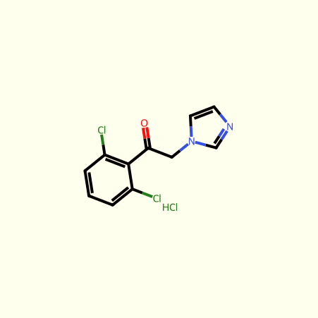 Cl.O=C(Cn1ccnc1)c1c(Cl)cccc1Cl